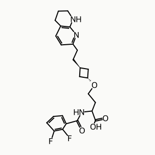 O=C(NC(CCO[C@H]1C[C@H](CCc2ccc3c(n2)NCCC3)C1)C(=O)O)c1cccc(F)c1F